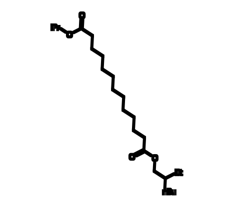 CCCCC(CC)COC(=O)CCCCCCCCCCCC(=O)OC(C)C